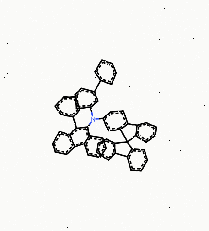 c1ccc(-c2cccc(N(c3ccc4c(c3)C3(c5ccccc5-c5ccccc53)c3ccccc3-4)c3c(-c4ccccc4)c4ccccc4c4ccccc34)c2)cc1